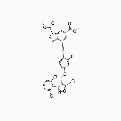 COC(=O)c1cc(C#Cc2ccc(OCc3c(-c4c(Cl)cccc4Cl)noc3C3CC3)cc2Cl)c2ccn(C(=O)OC)c2c1